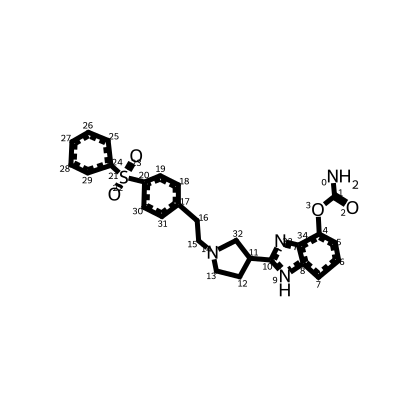 NC(=O)Oc1cccc2[nH]c(C3CCN(CCc4ccc(S(=O)(=O)c5ccccc5)cc4)C3)nc12